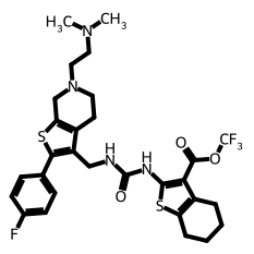 CN(C)CCN1CCc2c(sc(-c3ccc(F)cc3)c2CNC(=O)Nc2sc3c(c2C(=O)OC(F)(F)F)CCCC3)C1